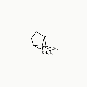 CC1CC2CC[C]1C2(C)C